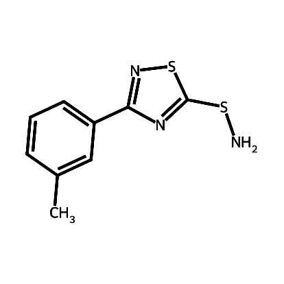 Cc1cccc(-c2nsc(SN)n2)c1